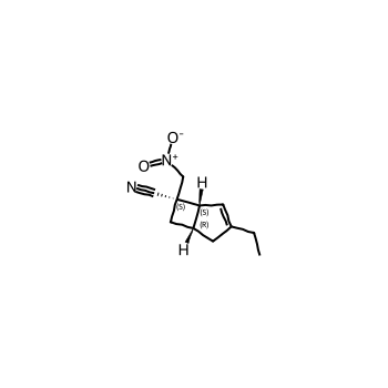 CCC1=C[C@@H]2[C@H](C1)C[C@@]2(C#N)C[N+](=O)[O-]